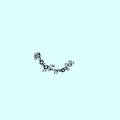 CC(C)(c1ccc(OCc2ccnc(S(C)(=O)=O)n2)cc1)c1cc(Cl)c(OCCCC(=O)NCc2ccc3c(c2)CN(C2CCC(=O)NC2=O)C3=O)c(C#N)c1